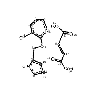 Clc1cccnc1SCc1c[nH]cn1.O=C(O)C=CC(=O)O